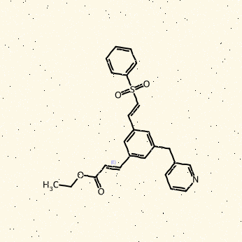 CCOC(=O)/C=C/c1cc(C=CS(=O)(=O)c2ccccc2)cc(Cc2cccnc2)c1